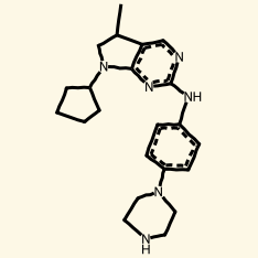 CC1CN(C2CCCC2)c2nc(Nc3ccc(N4CCNCC4)cc3)ncc21